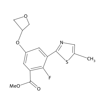 COC(=O)c1cc(OC2COC2)cc(-c2ncc(C)s2)c1F